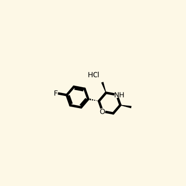 C[C@H]1CO[C@H](c2ccc(F)cc2)[C@@H](C)N1.Cl